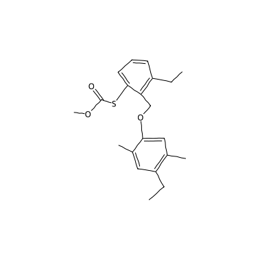 CCc1cc(C)c(OCc2c(CC)cccc2SC(=O)OC)cc1C